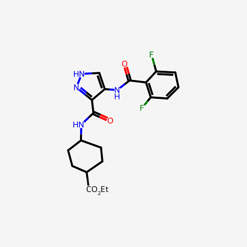 CCOC(=O)C1CCC(NC(=O)c2n[nH]cc2NC(=O)c2c(F)cccc2F)CC1